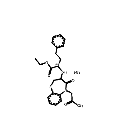 CCOC(=O)[C@@H](CCc1ccccc1)NC1CSc2ccccc2N(CC(=O)O)C1=O.Cl